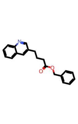 O=C(CCCc1cnc2ccccc2c1)OCc1ccccc1